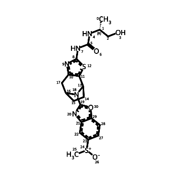 C[C@H](CO)NC(=O)Nc1nc2c(s1)C1CCC(C2)N1c1nc2cc([S+](C)[O-])ccc2o1